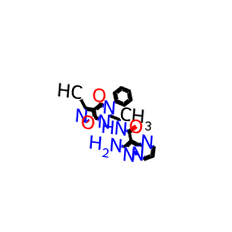 C#Cc1noc2nc(C(C)NC(=O)c3c(N)nn4cccnc34)n(-c3ccccc3)c(=O)c12